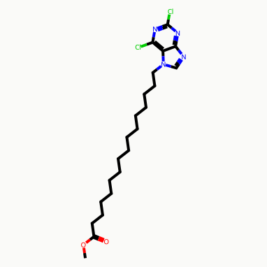 COC(=O)CCCCCCCCCCCCCCCn1cnc2nc(Cl)nc(Cl)c21